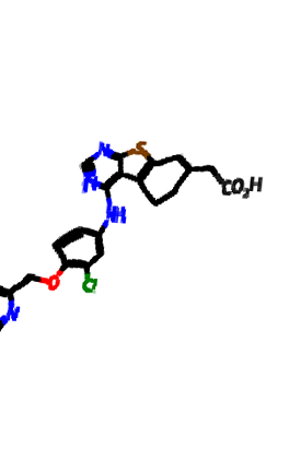 O=C(O)CC1CCc2c(sc3ncnc(Nc4ccc(OCc5ccccn5)c(Cl)c4)c23)C1